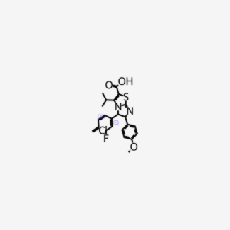 C=C(Cl)/C=C\C(=C/CF)C1C(c2ccc(OC)cc2)N=C2SC(C(=O)O)=C(C(C)C)N21